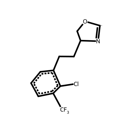 FC(F)(F)c1cccc(CCC2CO[C]=N2)c1Cl